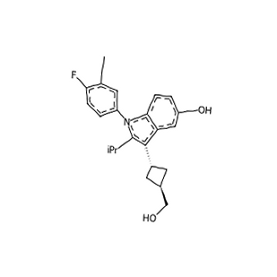 Cc1cc(-n2c(C(C)C)c([C@H]3C[C@H](CO)C3)c3cc(O)ccc32)ccc1F